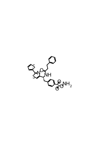 NOS(=O)(=O)c1ccc(C[C@H](NC(=O)CCc2ccccc2)c2csc(-c3cccs3)n2)cc1